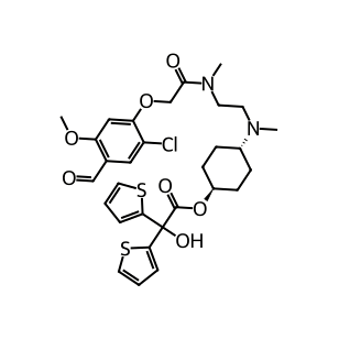 COc1cc(OCC(=O)N(C)CCN(C)[C@H]2CC[C@H](OC(=O)C(O)(c3cccs3)c3cccs3)CC2)c(Cl)cc1C=O